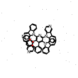 c1cncc(-c2ccccc2-c2c(-n3c4ccccc4c4ccccc43)c(-n3c4ccccc4c4cnccc43)nc(-n3c4ccccc4c4cnccc43)c2-n2c3ccccc3c3cnccc32)c1